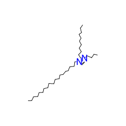 CCCCCCCCCCCCCCCCCCCN1C=CN(CCCC)C1CCCCCCCCCC